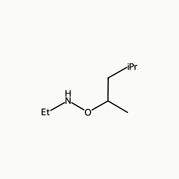 [CH2]CNOC(C)CC(C)C